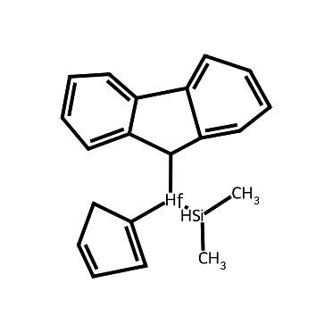 C[SiH](C)[Hf]([C]1=CC=CC1)[CH]1c2ccccc2-c2ccccc21